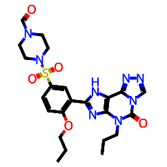 CCCOc1ccc(S(=O)(=O)N2CCN(C=O)CC2)cc1-c1nc2c([nH]1)c1nncn1c(=O)n2CCC